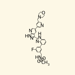 CS(=O)(=O)NCc1cc(F)cc(-c2cccc3[nH]c(-c4n[nH]c5ncc(-c6cncc(CN7CCOCC7)c6)cc45)nc23)c1